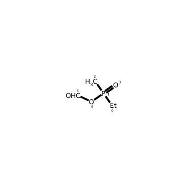 CCP(C)(=O)OC=O